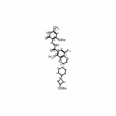 COC1CN(C2CCC([C@H]3COc4c(F)cc(C(=O)NCc5c(SC)cc(C)[nH]c5=O)c(C)c4O3)CC2)C1